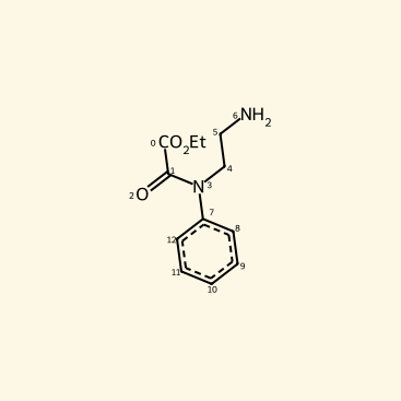 CCOC(=O)C(=O)N(CCN)c1ccccc1